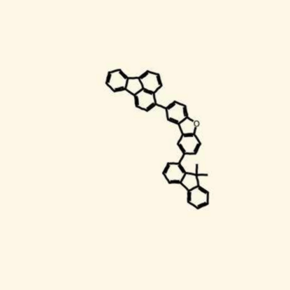 CC1(C)c2ccccc2-c2cccc(-c3ccc4oc5ccc(-c6ccc7c8c(cccc68)-c6ccccc6-7)cc5c4c3)c21